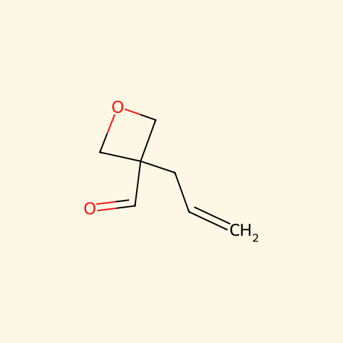 C=CCC1(C=O)COC1